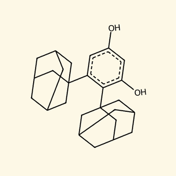 Oc1cc(O)c(C23CC4CC(CC(C4)C2)C3)c(C23CC4CC(CC(C4)C2)C3)c1